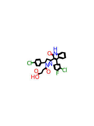 O=C(O)CCC(=O)N1N=C(c2c(-c3ccc(F)c(Cl)c3)c3ccccc3[nH]c2=O)CC1c1ccc(Cl)cc1